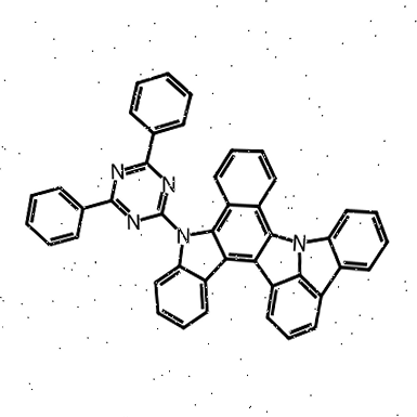 c1ccc(-c2nc(-c3ccccc3)nc(-n3c4ccccc4c4c5c6cccc7c8ccccc8n(c76)c5c5ccccc5c43)n2)cc1